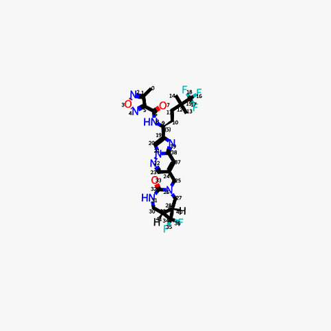 Cc1nonc1C(=O)N[C@@H](CCC(C)(C)C(F)(F)F)c1cn2ncc(CN3C[C@H]4[C@@H](CNC3=O)C4(F)F)cc2n1